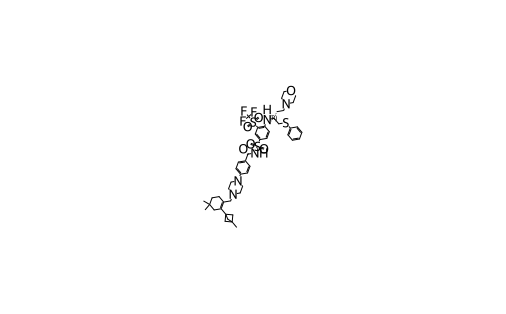 CC1(C)CCC(CN2CCN(c3ccc(C(=O)NS(=O)(=O)c4ccc(N[C@H](CCN5CCOCC5)CSc5ccccc5)c(S(=O)(=O)C(F)(F)F)c4)cc3)CC2)=C(C23CC(C)(C2)C3)C1